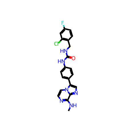 CNc1nccn2c(-c3ccc(NC(=O)NCc4ccc(F)cc4Cl)cc3)cnc12